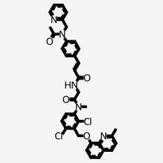 CC(=O)N(Cc1ccccn1)c1ccc(/C=C/C(=O)NCC(=O)N(C)c2ccc(Cl)c(COc3cccc4ccc(C)nc34)c2Cl)cc1